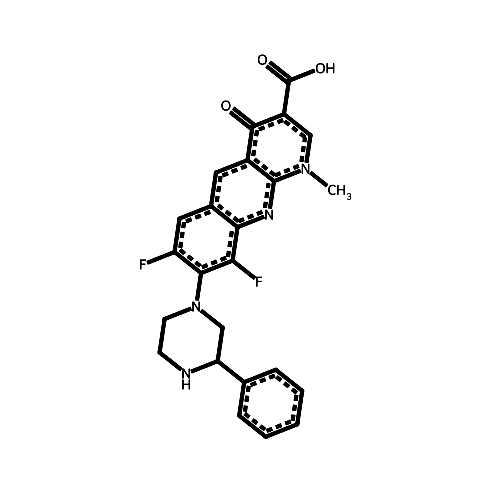 Cn1cc(C(=O)O)c(=O)c2cc3cc(F)c(N4CCNC(c5ccccc5)C4)c(F)c3nc21